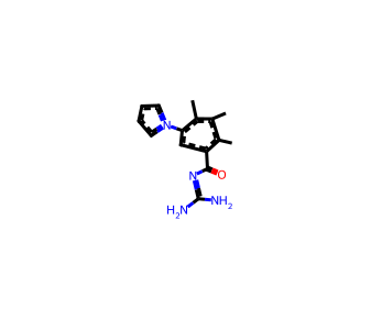 Cc1c(C(=O)N=C(N)N)cc(-n2cccc2)c(C)c1C